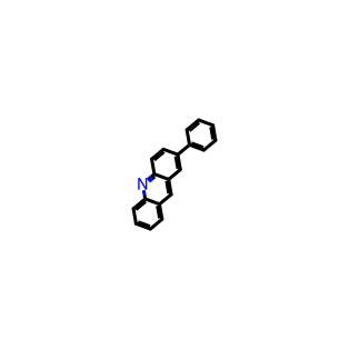 c1ccc(-c2ccc3nc4ccccc4cc3c2)cc1